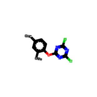 COc1cc(C=O)ccc1Oc1nc(Cl)nc(Cl)n1